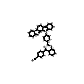 N#Cc1ccc(C(=N)c2ccccc2/N=C/c2ccc(-n3c4ccccc4c4ccc5c6ccccc6sc5c43)cc2)cc1